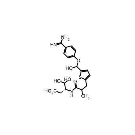 CC(Cc1ccc(C(O)Oc2ccc(C(=N)N)cc2)s1)C(=O)N[C@H](CC(=O)O)C(O)O